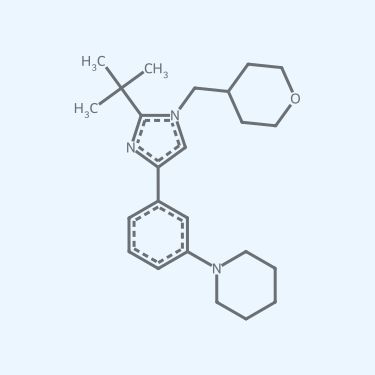 CC(C)(C)c1nc(-c2cccc(N3CCCCC3)c2)cn1CC1CCOCC1